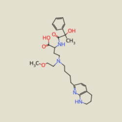 COCCN(CCCCc1ccc2c(n1)NCCC2)CCC(NC(=O)C(C)(O)c1ccccc1)C(=O)O